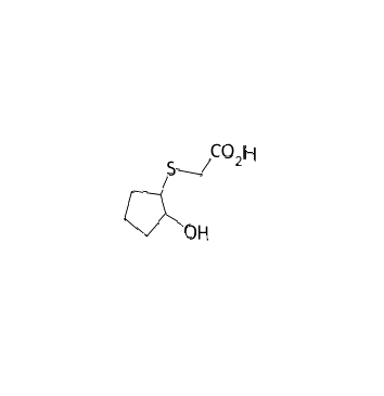 O=C(O)CSC1CCCC1O